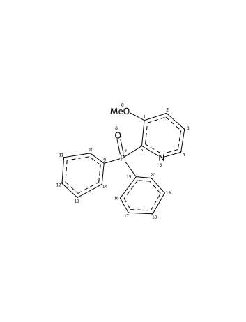 COc1cccnc1P(=O)(c1ccccc1)c1ccccc1